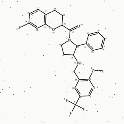 COc1ncc(C(F)(F)F)cc1CNC1CCN(C(=O)C2CCc3ccc(F)cc3O2)C1c1ccccc1